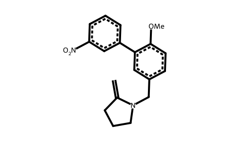 C=C1CCCN1Cc1ccc(OC)c(-c2cccc([N+](=O)[O-])c2)c1